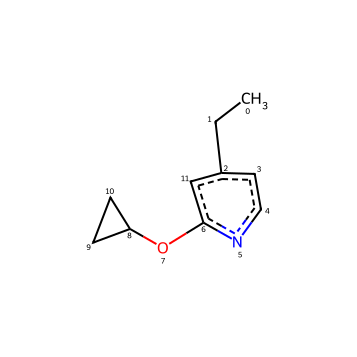 CCc1ccnc(OC2CC2)c1